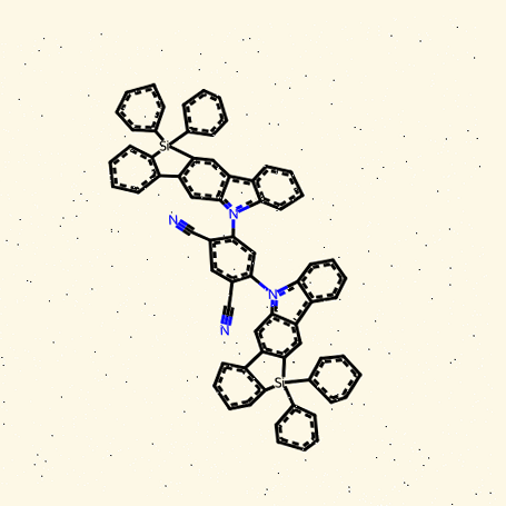 N#Cc1cc(C#N)c(-n2c3ccccc3c3cc4c(cc32)-c2ccccc2[Si]4(c2ccccc2)c2ccccc2)cc1-n1c2ccccc2c2cc3c(cc21)-c1ccccc1[Si]3(c1ccccc1)c1ccccc1